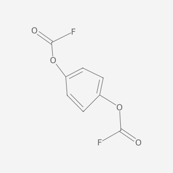 O=C(F)Oc1ccc(OC(=O)F)cc1